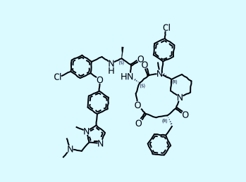 C[C@H](NCc1ccc(Cl)cc1Oc1ccc(-c2cnc(CN(C)C)n2C)cc1)C(=O)N[C@H]1COC(=O)C[C@@H](Cc2ccccc2)C(=O)N2CCC[C@@](Cc3ccc(Cl)cc3)(C2)N(C)C1=O